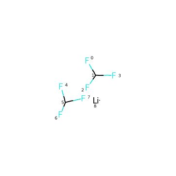 FC(F)F.FC(F)F.[Li]